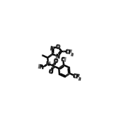 CC(C)N(C(C)c1noc(C(F)(F)F)n1)S(=O)(=O)c1ccc(C(F)(F)F)cc1Cl